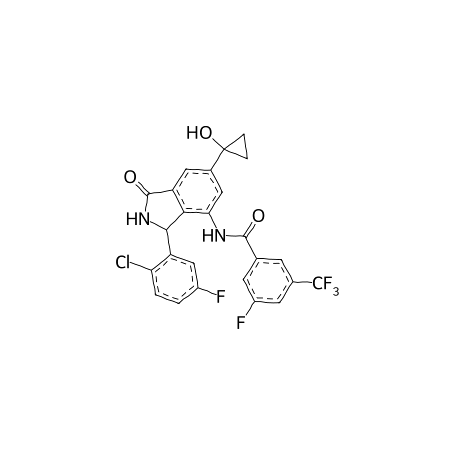 O=C(Nc1cc(C2(O)CC2)cc2c1C(c1cc(F)ccc1Cl)NC2=O)c1cc(F)cc(C(F)(F)F)c1